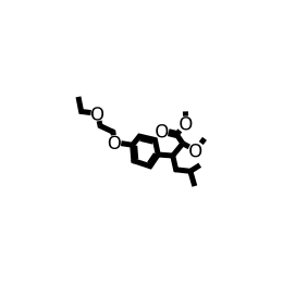 CCOCCOc1ccc(C(CC(C)C)C(OC)C(=O)OC)cc1